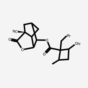 CC(C)CC1(C(=O)OC2C3CC4C2OC(=O)[C@]4(C#N)C3)C(C)CC1O